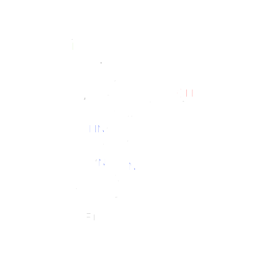 CCc1ccn2c(NCc3ccc(F)cc3)c(-c3ccc(O)cc3)nc2c1